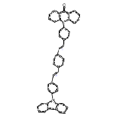 O=c1c2ccccc2n(-c2ccc(/C=C/c3ccc(/C=C/c4ccc(-n5c6ccccc6c6ccccc65)cc4)cc3)cc2)c2ccccc12